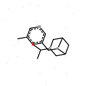 Cc1cncc(CN2C3CC2CN(C(C)C)C3)c1